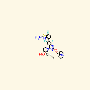 C[C@@]1(O)CCCN(c2nc(OCC34CCCN3CCC4)nc3c(F)c(-c4ccc(F)c5sc(N)nc45)c(F)cc23)C1